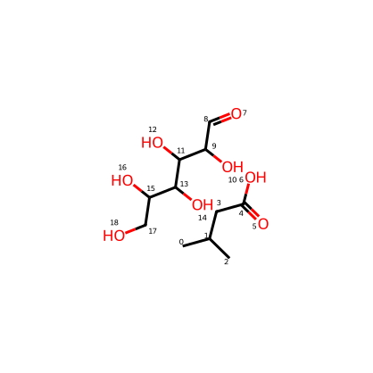 CC(C)CC(=O)O.O=CC(O)C(O)C(O)C(O)CO